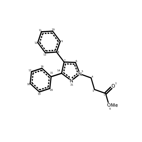 COC(=O)CCn1cc(-c2ccccc2)c(-c2ccccc2)n1